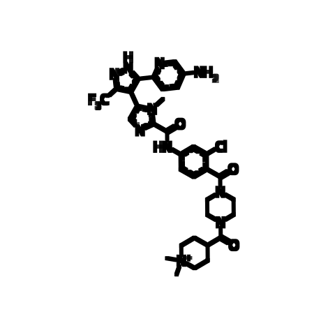 Cn1c(-c2c(C(F)(F)F)n[nH]c2-c2ccc(N)cn2)cnc1C(=O)Nc1ccc(C(=O)N2CCN(C(=O)C3CC[N+](C)(C)CC3)CC2)c(Cl)c1